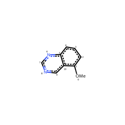 COc1cccc2ncncc12